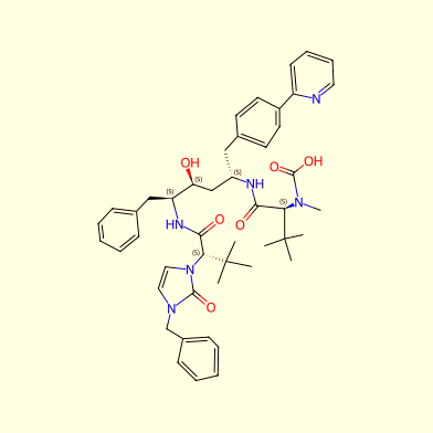 CN(C(=O)O)[C@H](C(=O)N[C@@H](Cc1ccc(-c2ccccn2)cc1)C[C@H](O)[C@H](Cc1ccccc1)NC(=O)[C@@H](n1ccn(Cc2ccccc2)c1=O)C(C)(C)C)C(C)(C)C